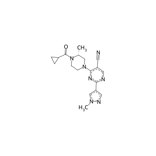 C[C@@H]1CN(c2nc(-c3cnn(C)c3)ncc2C#N)CCN1C(=O)C1CC1